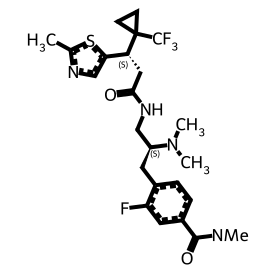 CNC(=O)c1ccc(C[C@@H](CNC(=O)C[C@H](c2cnc(C)s2)C2(C(F)(F)F)CC2)N(C)C)c(F)c1